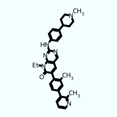 CCn1c(=O)c(-c2ccc(-c3cccnc3C)cc2C)cc2cnc(Nc3ccc(C4CCN(C)CC4)cc3)nc21